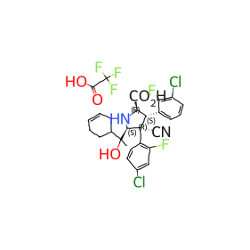 CC(O)(C1CC=CCC1)[C@H]1N[C@@H](C(=O)O)[C@H](c2cccc(Cl)c2F)[C@@]1(C#N)c1ccc(Cl)cc1F.O=C(O)C(F)(F)F